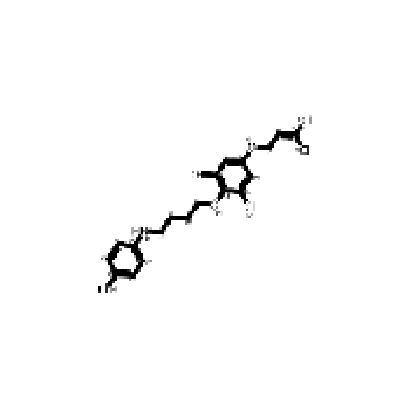 Fc1cc(OCC=C(Cl)Cl)cc(Cl)c1OCCCCNc1ccc(Cl)cc1